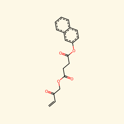 C=CC(=O)COC(=O)CCC(=O)Oc1ccc2ccccc2c1